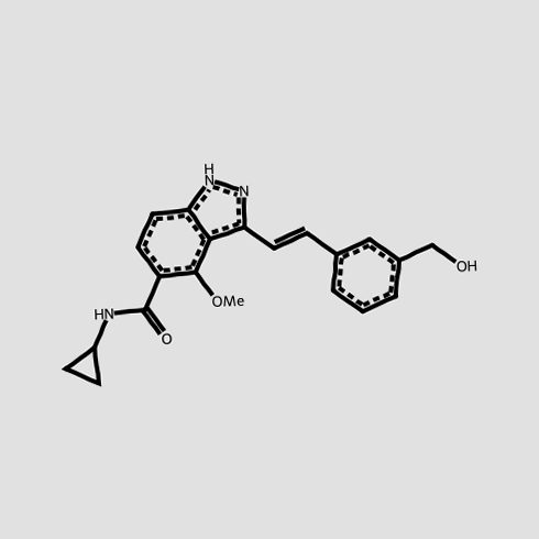 COc1c(C(=O)NC2CC2)ccc2[nH]nc(C=Cc3cccc(CO)c3)c12